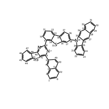 c1ccc2cc(-c3nc(-c4cccc5c4sc4cc(-n6c7ccccc7c7cc8ccccc8cc76)ccc45)nc4c3sc3ccccc34)ccc2c1